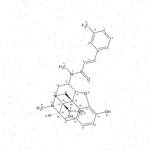 CN(C(=O)/C=C/c1cccc(C(F)(F)F)c1)C1CC[C@@]2(N(C)C)[C@H]3Cc4ccc(O)c5c4[C@@]2(CCN3C)C1O5